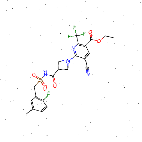 CCOC(=O)c1cc(C#N)c(N2CC(C(=O)NS(=O)(=O)Cc3cc(C)ccc3F)C2)nc1C(F)(F)F